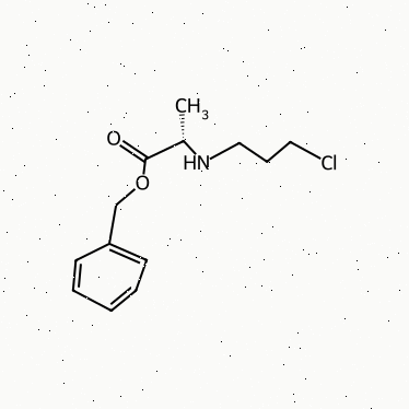 C[C@H](NCCCCl)C(=O)OCc1ccccc1